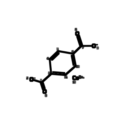 O=C([O-])c1ccc(C(=O)[O-])cc1.[Co+2]